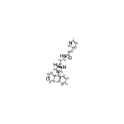 O=C(/C=C/c1cccnc1)NCCC1[C@H]2CN(C(c3ccccc3)C3CCOCC3)C[C@@H]12